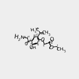 CCOC(=O)COc1cc(O)c(C(=O)CN)cc1C(C)C